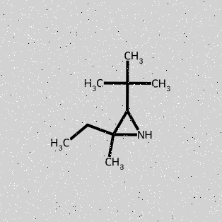 CCC1(C)NC1C(C)(C)C